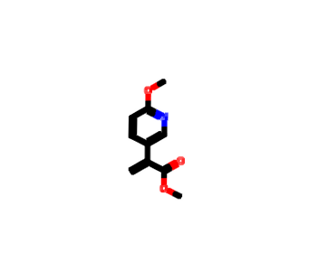 C=C(C(=O)OC)c1ccc(OC)nc1